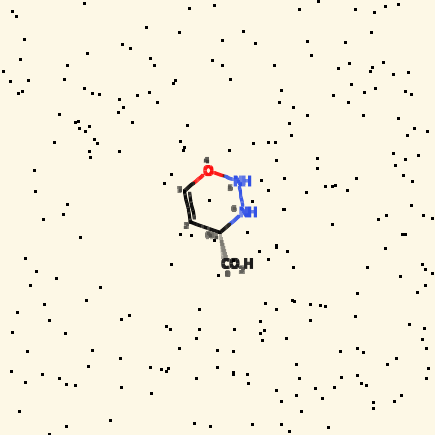 O=C(O)[C@@H]1C=CONN1